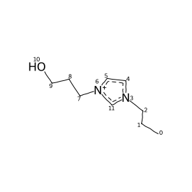 CCCn1cc[n+](CCCO)c1